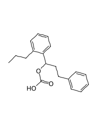 CCCc1ccccc1C(CCc1ccccc1)OC(=O)O